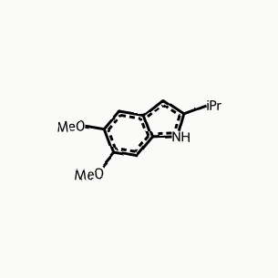 COc1cc2cc(C(C)C)[nH]c2cc1OC